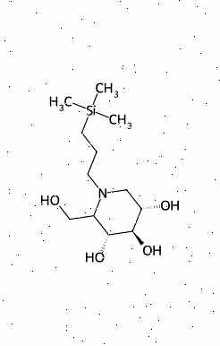 C[Si](C)(C)CCCN1C[C@H](O)[C@@H](O)[C@H](O)C1CO